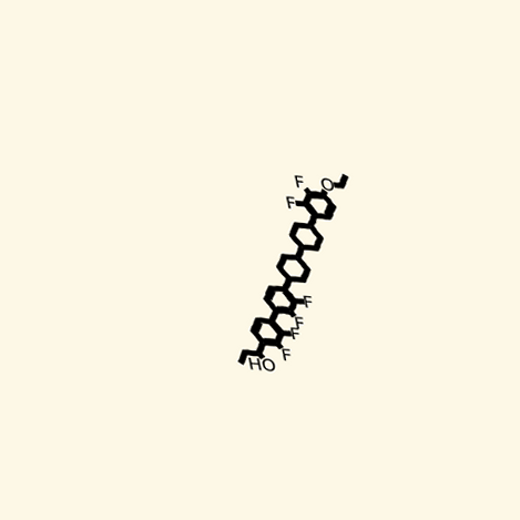 CCOc1ccc(C2CCC(C3CCC(c4ccc(-c5ccc(C(O)CC)c(F)c5F)c(F)c4F)CC3)CC2)c(F)c1F